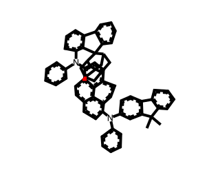 CC1(C)c2ccccc2-c2ccc(N(c3ccccc3)c3ccc4ccc5c(N(c6ccccc6)c6cccc7c6C6(c8ccccc8-7)C7CC8CC(C7)CC6C8)ccc6ccc3c4c65)cc21